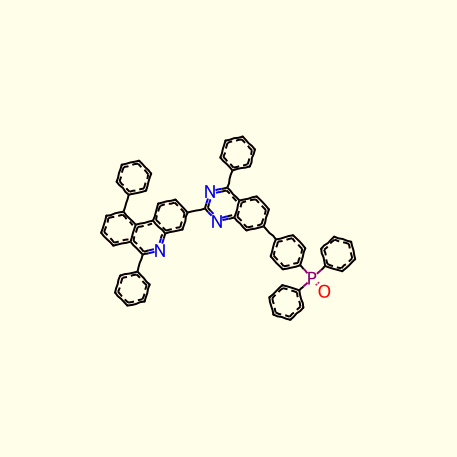 O=P(c1ccccc1)(c1ccccc1)c1ccc(-c2ccc3c(-c4ccccc4)nc(-c4ccc5c(c4)nc(-c4ccccc4)c4cccc(-c6ccccc6)c45)nc3c2)cc1